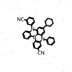 N#Cc1cccc(N2c3ccccc3B3c4ccc(C#N)cc4N(c4ccccc4)c4cc(C5CCCCC5)cc2c43)c1